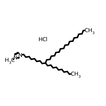 CCCCCCCCCCCCCCCCCCC(CCCCCCCCCC)CCCCCCCCN1C=CN(C)C1.Cl